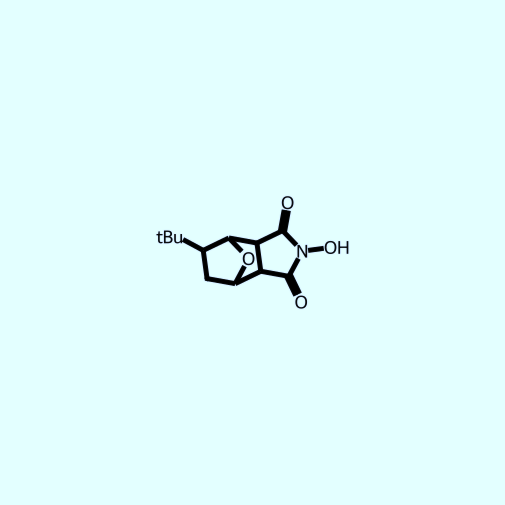 CC(C)(C)C1CC2OC1C1C(=O)N(O)C(=O)C21